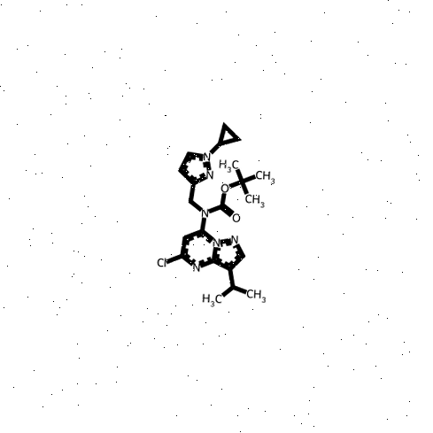 CC(C)c1cnn2c(N(Cc3ccn(C4CC4)n3)C(=O)OC(C)(C)C)cc(Cl)nc12